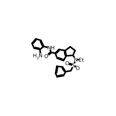 CCN(C1CCc2cc(C(=O)Nc3ccccc3N)ccc21)S(=O)(=O)Cc1ccccc1